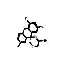 Cc1ccc2c(c1)[C@@]1(COCC(N)=N1)c1cc(Br)cc(F)c1O2